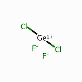 [Cl][Ge+2][Cl].[F-].[F-]